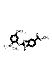 COC(=O)c1ccc2[nH]c(Sc3cc(OC)ccc3N(C)C)nc2c1